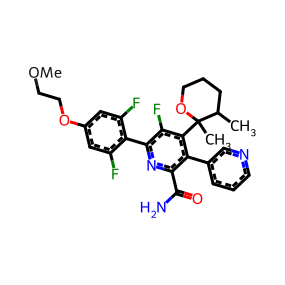 COCCOc1cc(F)c(-c2nc(C(N)=O)c(-c3cccnc3)c(C3(C)OCCCC3C)c2F)c(F)c1